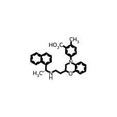 Cc1ccc(N2CC(CCN[C@H](C)c3cccc4ccccc34)Oc3ccccc32)cc1C(=O)O